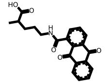 CC(CCCNC(=O)c1cccc2c1C(=O)c1ccccc1C2=O)C(=O)O